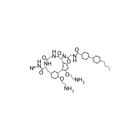 CCCCc1ccc(-c2ccc(C(=O)NCC(=O)N(C)C3C(=O)N[C@@H](C)C(=O)NC(C(=O)NC#N)Cc4ccc(OCCN)c(c4)-c4cc3ccc4OCCN)cc2)cc1